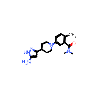 CN(C)C(=O)c1cc(N2CCC(c3cc(N)[nH]n3)CC2)ccc1C(F)(F)F